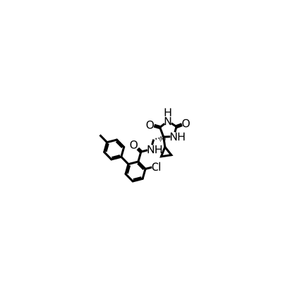 Cc1ccc(-c2cccc(Cl)c2C(=O)NC[C@@]2(C3CC3)NC(=O)NC2=O)cc1